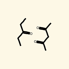 CC(=O)CC(C)=O.CCC(=O)CC